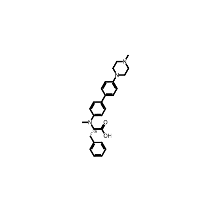 CN1CCN(c2ccc(-c3ccc(N(C)[C@@H](Cc4ccccc4)C(=O)O)cc3)cc2)CC1